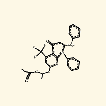 CC(=O)OC(C)Sc1cc(C(F)(F)F)c2c(=O)cc(Nc3ccccc3)n(-c3ccccc3)c2n1